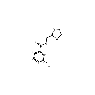 O=C(CCC1OCCO1)c1cccc(Cl)c1